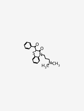 CN(C)CCCN1C(=O)C(C(=O)c2ccccc2)Sc2ccccc21